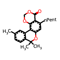 CCCCCc1cc2c(c3c1C(=O)OCO3)-c1cc(C)ccc1C(C)(C)O2